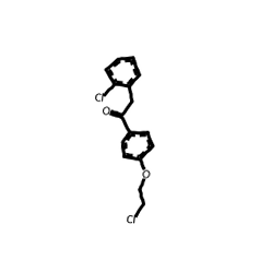 O=C(Cc1ccccc1Cl)c1ccc(OCCCl)cc1